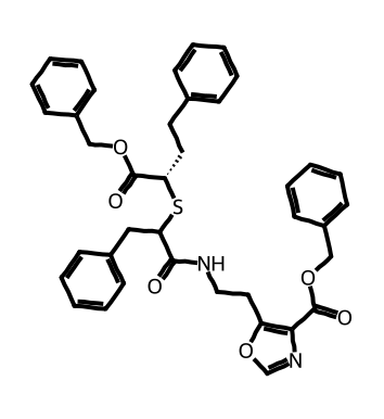 O=C(OCc1ccccc1)c1ncoc1CCNC(=O)C(Cc1ccccc1)S[C@@H](CCc1ccccc1)C(=O)OCc1ccccc1